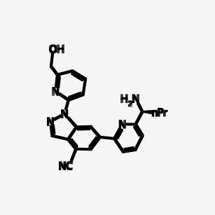 CCC[C@H](N)c1cccc(-c2cc(C#N)c3cnn(-c4cccc(CO)n4)c3c2)n1